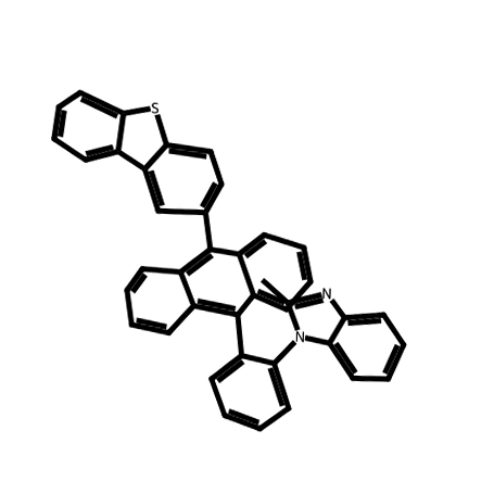 Cc1nc2ccccc2n1-c1ccccc1-c1c2ccccc2c(-c2ccc3sc4ccccc4c3c2)c2ccccc12